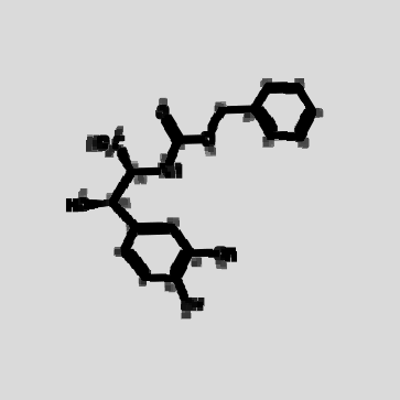 O=C(N[C@H](C(=O)O)[C@H](O)c1ccc(O)c(O)c1)OCc1ccccc1